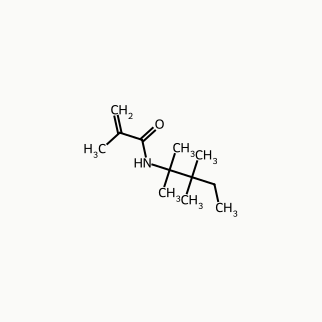 C=C(C)C(=O)NC(C)(C)C(C)(C)CC